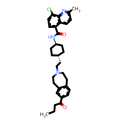 CCCC(=O)c1ccc2c(c1)CCN(CC[C@H]1CC[C@H](NC(=O)c3ccc(Cl)c4nc(C)ccc34)CC1)CC2